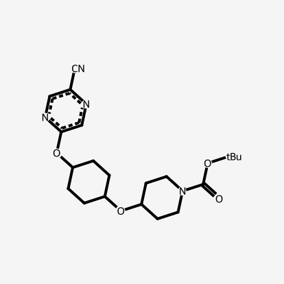 CC(C)(C)OC(=O)N1CCC(OC2CCC(Oc3cnc(C#N)cn3)CC2)CC1